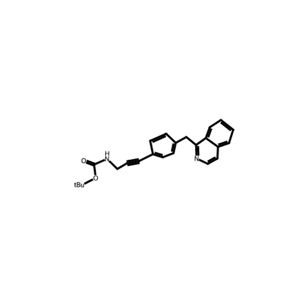 CC(C)(C)OC(=O)NCC#Cc1ccc(Cc2nccc3ccccc23)cc1